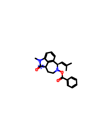 CC(C)=C[C@@H]1c2cccc3c2[C@@](N)(CCN1OC(=O)c1ccccc1)C(=O)N3C